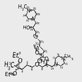 CCO[Si](C)(CCCOCC(CN1CCN(C)CC1)O[Si](C)(CCCOCC(O)CN1CCN(C)CC1)OCC)OCC